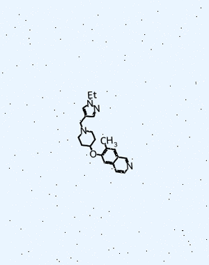 CCn1cc(CN2CCC(Oc3cc4ccncc4cc3C)CC2)cn1